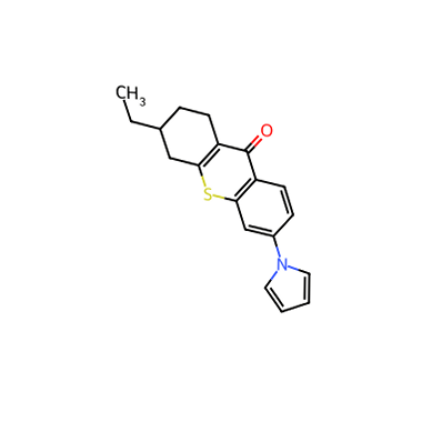 CCC1CCc2c(sc3cc(-n4cccc4)ccc3c2=O)C1